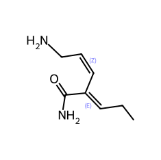 CC/C=C(\C=C/CN)C(N)=O